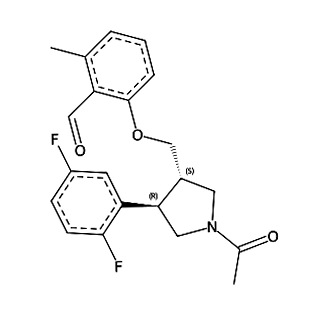 CC(=O)N1C[C@@H](COc2cccc(C)c2C=O)[C@H](c2cc(F)ccc2F)C1